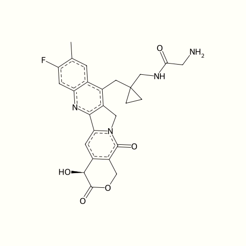 Cc1cc2c(CC3(CNC(=O)CN)CC3)c3c(nc2cc1F)-c1cc2c(c(=O)n1C3)COC(=O)[C@H]2O